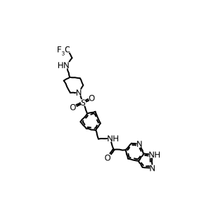 O=C(NCc1ccc(S(=O)(=O)N2CCC(NCC(F)(F)F)CC2)cc1)c1cnc2[nH]ncc2c1